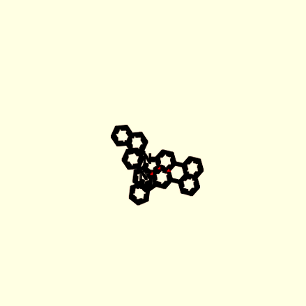 c1ccc(-n2c3ccccc3c3cc(-c4cccc5cccc(-c6ccc7c(c6)c6ccccc6n7-c6ccc7ccccc7c6)c45)ccc32)cc1